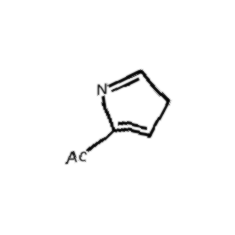 CC(=O)C1=CCC=N1